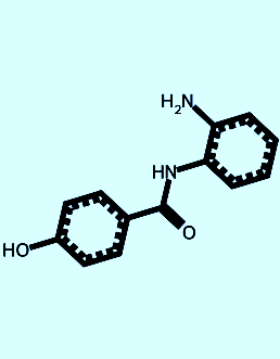 Nc1ccccc1NC(=O)c1ccc(O)cc1